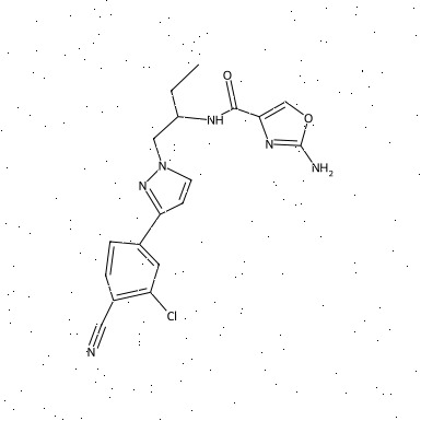 CCC(Cn1ccc(-c2ccc(C#N)c(Cl)c2)n1)NC(=O)c1coc(N)n1